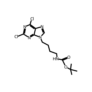 CC(C)(C)OC(=O)NCCCCn1cnc2c(Cl)nc(Cl)nc21